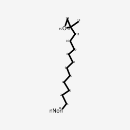 CCCCCCCCCCCCCCCCCCCCC1(C)CO1